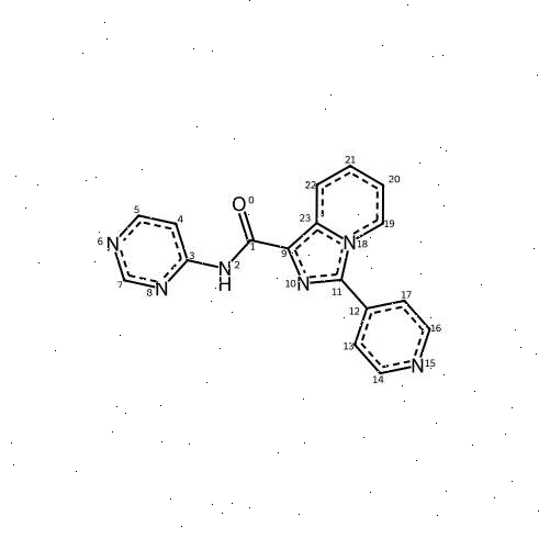 O=C(Nc1ccncn1)c1nc(-c2ccncc2)n2ccccc12